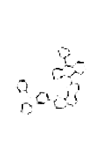 C1=CCC(n2c3ccncc3c3cc(-c4ccc5ccc6ccc(-c7c8c(c(-c9ccccc9)c9ccccc79)C=CCC8)nc6c5n4)ccc32)C=C1